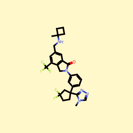 Cn1cnnc1C1(c2cccc(N3Cc4c(cc(CNC5(C)CCC5)cc4C(F)(F)F)C3=O)c2)CCC(F)(F)C1